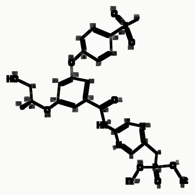 CCOP(=O)(Cc1cnc(NC(=O)c2cc(Oc3ccc(S(C)(=O)=O)cc3)cc(O[C@@H](C)CO)c2)cn1)OCC